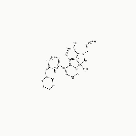 CNCC(CC1CCCCC1)NC(=O)N1CCCC(C(O)(CCCCOC)c2cc(Cl)ccn2)C1